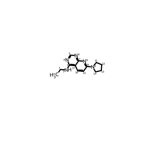 CCNc1ncnc2nc(N3CCCC3)ccc12